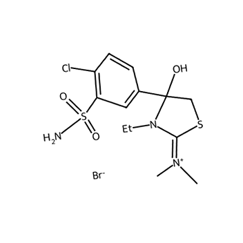 CCN1C(=[N+](C)C)SCC1(O)c1ccc(Cl)c(S(N)(=O)=O)c1.[Br-]